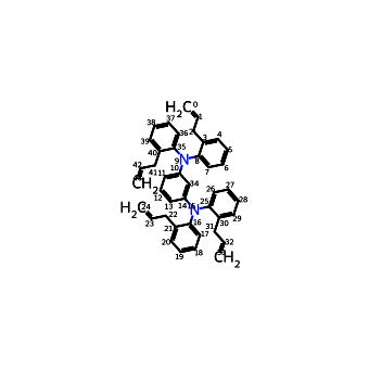 C=CCc1ccccc1N(c1cccc(N(c2ccccc2CC=C)c2ccccc2CC=C)c1)c1ccccc1CC=C